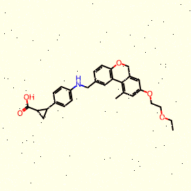 CCOCCOc1cc(C)c2c(c1)COc1ccc(CNc3ccc(C4CC4C(=O)O)cc3)cc1-2